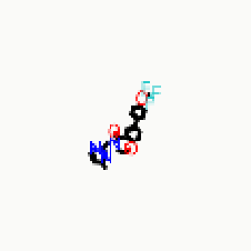 Cc1ccnc(CN2CCOc3ccc(-c4ccc(OC(F)(F)F)cc4)cc3C2=O)n1